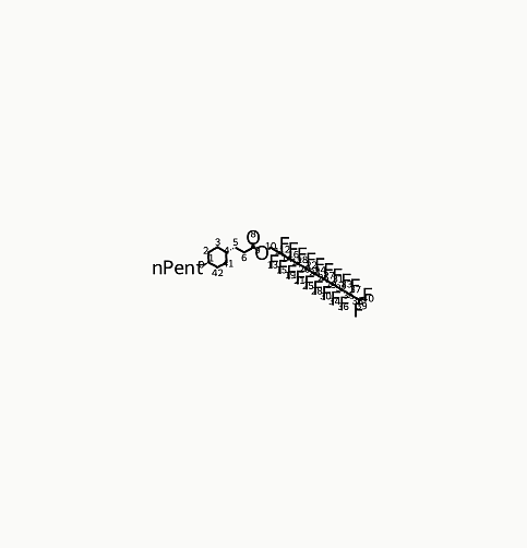 CCCCC[C@H]1CC[C@H](CCC(=O)OCC(F)(F)C(F)(F)C(F)(F)C(F)(F)C(F)(F)C(F)(F)C(F)(F)C(F)(F)C(F)(F)C(F)F)CC1